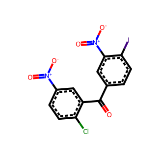 O=C(c1ccc(I)c([N+](=O)[O-])c1)c1cc([N+](=O)[O-])ccc1Cl